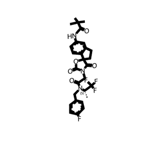 C[C@H](N(Cc1ccc(F)cc1)C(=O)CN1C(=O)OC2(CCc3cc(NC(=O)C(C)(C)C)ccc32)C1=O)C(F)(F)F